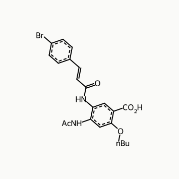 CCCCOc1cc(NC(C)=O)c(NC(=O)C=Cc2ccc(Br)cc2)cc1C(=O)O